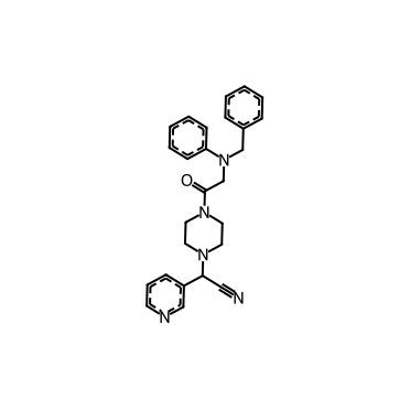 N#CC(c1cccnc1)N1CCN(C(=O)CN(Cc2ccccc2)c2ccccc2)CC1